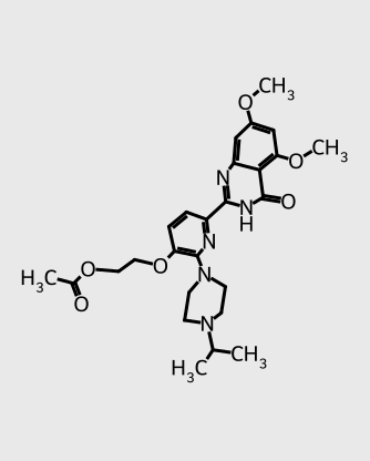 COc1cc(OC)c2c(=O)[nH]c(-c3ccc(OCCOC(C)=O)c(N4CCN(C(C)C)CC4)n3)nc2c1